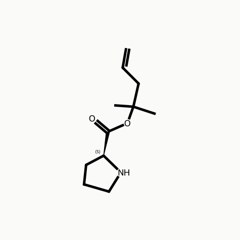 C=CCC(C)(C)OC(=O)[C@@H]1CCCN1